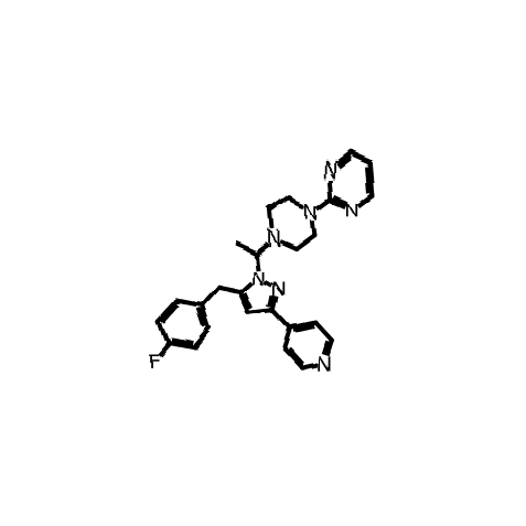 CC(N1CCN(c2ncccn2)CC1)n1nc(-c2ccncc2)cc1Cc1ccc(F)cc1